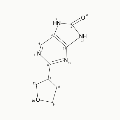 O=c1[nH]c2cnc(C3CCOC3)nc2[nH]1